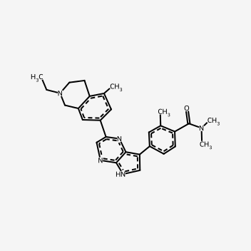 CCN1CCc2c(C)cc(-c3cnc4[nH]cc(-c5ccc(C(=O)N(C)C)c(C)c5)c4n3)cc2C1